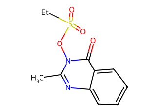 CCS(=O)(=O)On1c(C)nc2ccccc2c1=O